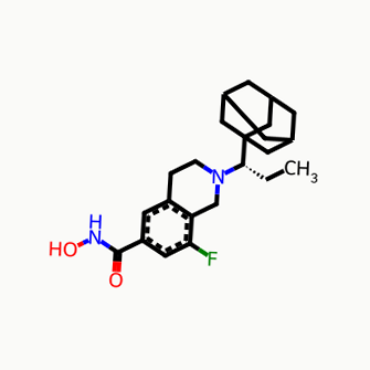 CC[C@H](N1CCc2cc(C(=O)NO)cc(F)c2C1)C12CC3CC(CC(C3)C1)C2